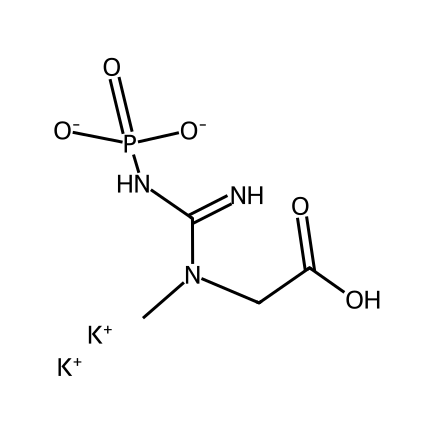 CN(CC(=O)O)C(=N)NP(=O)([O-])[O-].[K+].[K+]